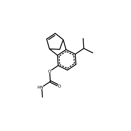 CNC(=O)Oc1ccc(C(C)C)c2c1C1C=CC2C1